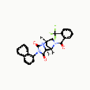 O=C1[C@@H]2[C@@H]3C[C@@H](CN3C(=O)c3ccccc3C(F)(F)F)N2C(=O)N1c1cccc2ccccc12